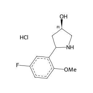 COc1ccc(F)cc1C1C[C@@H](O)CN1.Cl